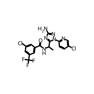 CC(NC(=O)c1cc(Cl)cc(C(F)(F)F)c1)c1nc(N)nn1-c1ccc(Cl)cn1